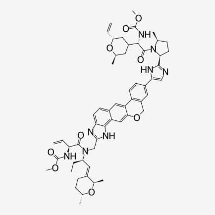 C=C[C@@H]1CC([C@H](NC(=O)OC)C(=O)N2[C@@H](C)CC[C@H]2c2ncc(-c3ccc4c(c3)COc3cc5c(ccc6nc(CN(C(=O)[C@H](C=C)NC(=O)OC)[C@@H](/C=C7\CC[C@@H](C)O[C@@H]7C)CC)[nH]c65)cc3-4)[nH]2)C[C@@H](C)O1